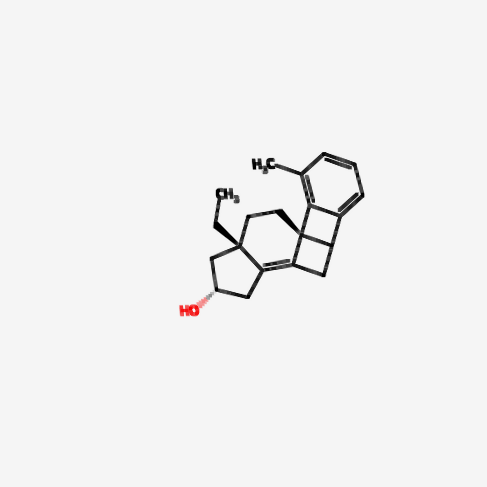 CC[C@@]12CC[C@]34C(=C1C[C@H](O)C2)CC3c1cccc(C)c14